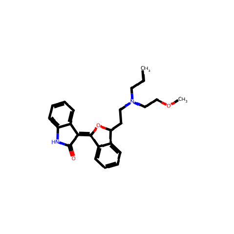 CCCN(CCOC)CCC1O/C(=C2/C(=O)Nc3ccccc32)c2ccccc21